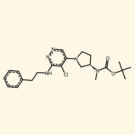 CN(C(=O)OC(C)(C)C)[C@@H]1CCN(c2cnnc(NCCc3ccccc3)c2Cl)C1